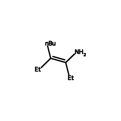 CCCCC(CC)=C(N)CC